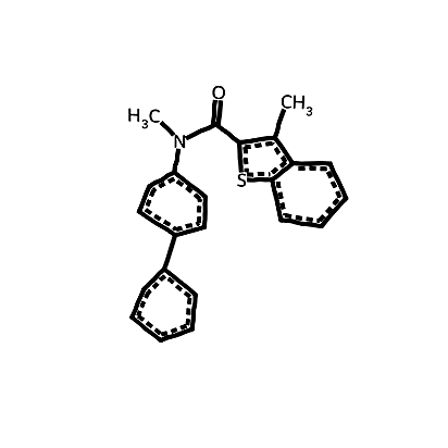 Cc1c(C(=O)N(C)c2ccc(-c3ccccc3)cc2)sc2ccccc12